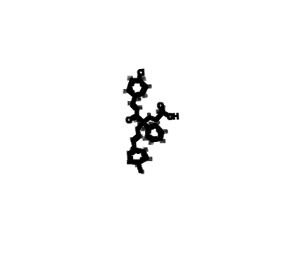 Cc1ccc(C=CCC(CCC(=O)O)(C(=O)C=Cc2ccc(Cl)cc2)c2ccccc2)cc1